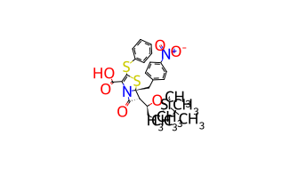 CC[C@H](O[Si](C)(C)C(C)(C)C)[C@@H]1C(=O)N2C(C(=O)O)=C(Sc3ccccc3)S[C@]12Cc1ccc([N+](=O)[O-])cc1